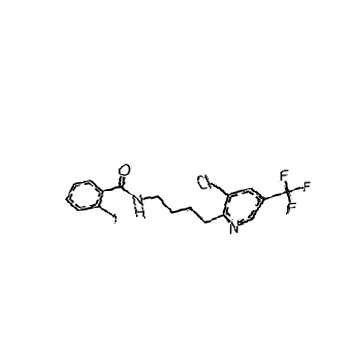 O=C(NCCCCc1ncc(C(F)(F)F)cc1Cl)c1ccccc1I